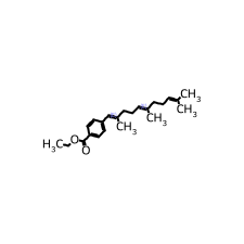 CCOC(=O)c1ccc(/C=C(\C)CC/C=C(\C)CCC=C(C)C)cc1